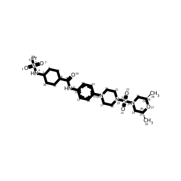 CC(C)S(=O)(=O)NC1CCC(C(=O)Nc2ccc(N3CCN(S(=O)(=O)N4C[C@@H](C)O[C@@H](C)C4)CC3)cc2)CC1